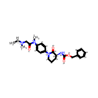 BBN(C)CC(=O)N(C)c1ccc(N2CCC[C@H](NC(=O)OCc3ccccc3)C2=O)cc1